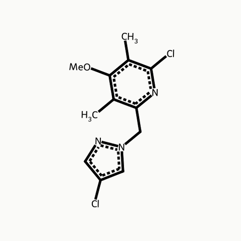 COc1c(C)c(Cl)nc(Cn2cc(Cl)cn2)c1C